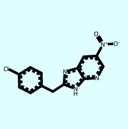 O=[N+]([O-])c1cnc2[nH]c(Cc3ccc(Cl)cc3)nc2c1